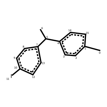 Cc1ccc(C(C)c2ccc(I)cc2)cc1